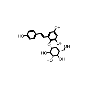 OC[C@H]1C[C@@H](Oc2c(O)cc(O)cc2/C=C/c2ccc(O)cc2)[C@H](O)[C@@H](O)[C@@H]1O